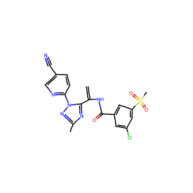 C=C(NC(=O)c1cc(Cl)cc(S(C)(=O)=O)c1)c1nc(C)nn1-c1ccc(C#N)cn1